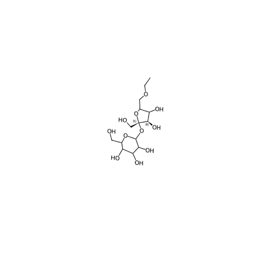 CCOCC1O[C@@](CO)(OC2OC(CO)C(O)C(O)C2O)[C@H](O)C1O